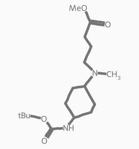 COC(=O)CCCN(C)C1CCC(NC(=O)OC(C)(C)C)CC1